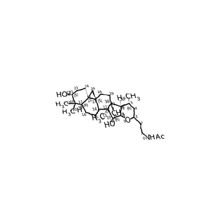 CC(=O)NCCC1C[C@@H](C)[C@H]2C(O1)[C@H](O)[C@@]1(C)C3CC[C@H]4C(C)(C)[C@@H](O)CC[C@@]45C[C@@]35CC[C@]21C